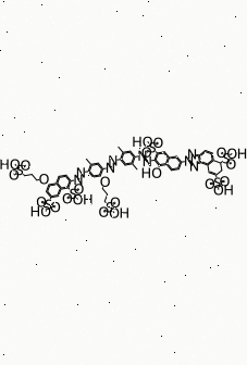 Cc1cc(N=Nc2c(S(=O)(=O)O)cc3cc(-n4nc5ccc6c(c5n4)C=C(S(=O)(=O)O)CC6S(=O)(=O)O)ccc3c2O)c(C)cc1N=Nc1cc(C)c(N=Nc2ccc3c(OCCCS(=O)(=O)O)cc(S(=O)(=O)O)cc3c2S(=O)(=O)O)cc1OCCCS(=O)(=O)O